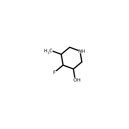 CC1CNCC(O)C1F